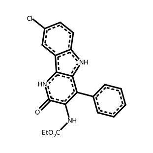 CCOC(=O)Nc1c(-c2ccccc2)c2[nH]c3ccc(Cl)cc3c2[nH]c1=O